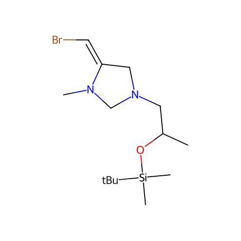 CC(CN1C/C(=C/Br)N(C)C1)O[Si](C)(C)C(C)(C)C